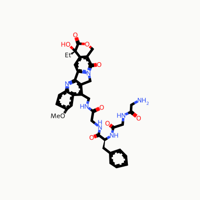 CC[C@@]1(O)C(=O)OCc2c1cc1n(c2=O)Cc2c-1nc1ccc(OC)cc1c2CNC(=O)CNC(=O)[C@H](Cc1ccccc1)NC(=O)CNC(=O)CN